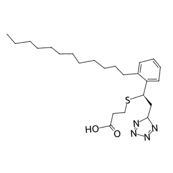 CCCCCCCCCCCCc1ccccc1[C@@H](CC1N=NN=N1)SCCC(=O)O